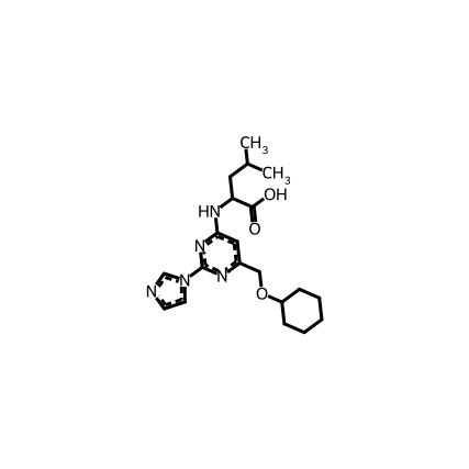 CC(C)CC(Nc1cc(COC2CCCCC2)nc(-n2ccnc2)n1)C(=O)O